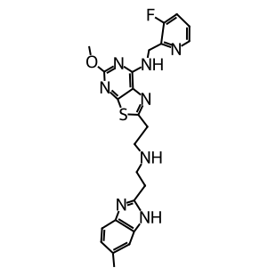 COc1nc(NCc2ncccc2F)c2nc(CCNCCc3nc4ccc(C)cc4[nH]3)sc2n1